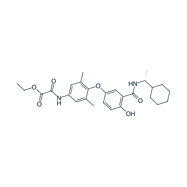 CCOC(=O)C(=O)Nc1cc(C)c(Oc2ccc(O)c(C(=O)N[C@H](C)C3CCCCC3)c2)c(C)c1